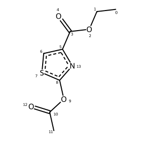 CCOC(=O)c1csc(OC(C)=O)n1